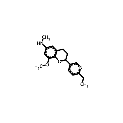 CCc1ccc(C2CCc3cc(NC)cc(OC)c3O2)cn1